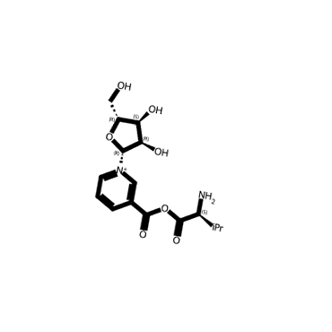 CC(C)[C@H](N)C(=O)OC(=O)c1ccc[n+]([C@@H]2O[C@H](CO)[C@@H](O)[C@H]2O)c1